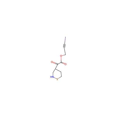 O=C(OCC#CI)C(=O)C1CCSNC1